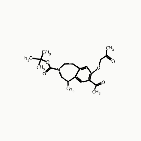 CC(=O)COc1cc2c(cc1C(C)=O)C(C)CN(C(=O)OC(C)(C)C)CC2